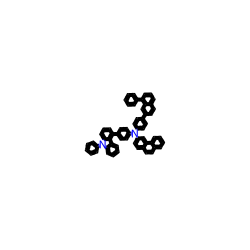 c1ccc(-c2cccc3ccc(-c4ccc(N(c5ccc(-c6cccc7c6c6ccccc6n7-c6ccccc6)cc5)c5ccc6ccc7ccccc7c6c5)cc4)cc23)cc1